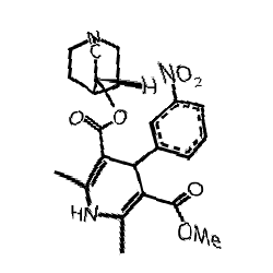 COC(=O)C1=C(C)NC(C)=C(C(=O)O[C@H]2CN3CCC2CC3)C1c1cccc([N+](=O)[O-])c1